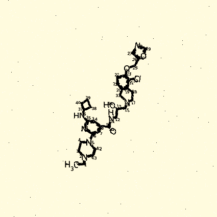 CCN1CCN(c2cc(C(=O)NC[C@H](O)CN3CCc4c(ccc(OCc5cnco5)c4Cl)C3)cc(NC3CCC3)n2)CC1